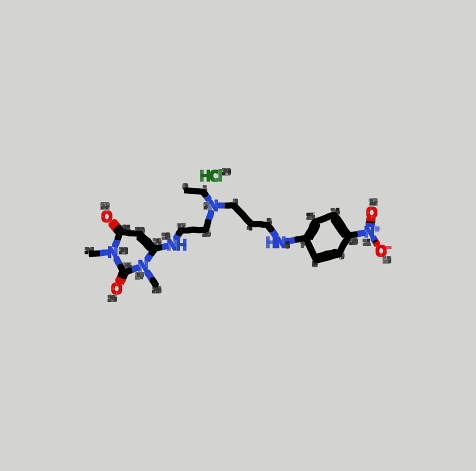 CCN(CCCNc1ccc([N+](=O)[O-])cc1)CCNc1cc(=O)n(C)c(=O)n1C.Cl